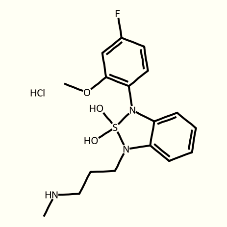 CNCCCN1c2ccccc2N(c2ccc(F)cc2OC)S1(O)O.Cl